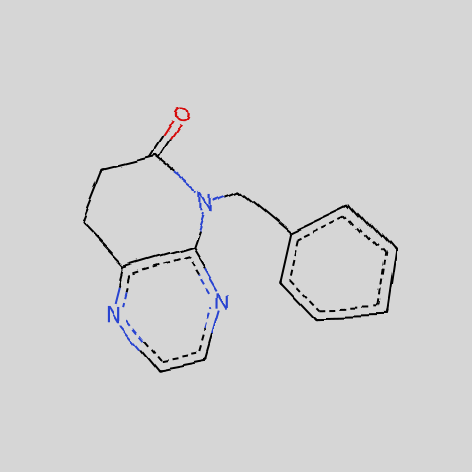 O=C1CCc2nccnc2N1Cc1ccccc1